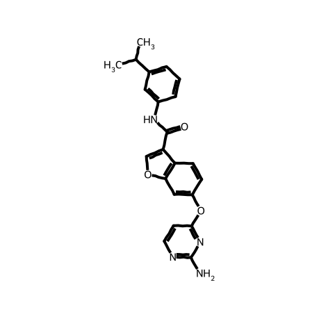 CC(C)c1cccc(NC(=O)c2coc3cc(Oc4ccnc(N)n4)ccc23)c1